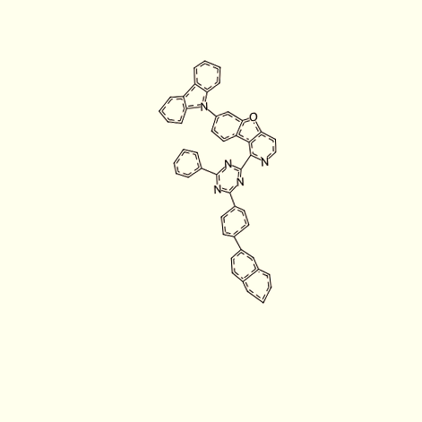 c1ccc(-c2nc(-c3ccc(-c4ccc5ccccc5c4)cc3)nc(-c3nccc4oc5cc(-n6c7ccccc7c7ccccc76)ccc5c34)n2)cc1